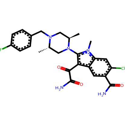 C[C@@H]1CN(Cc2ccc(F)cc2)[C@@H](C)CN1c1c(C(=O)C(N)=O)c2cc(C(N)=O)c(Cl)cc2n1C